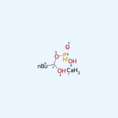 CCCCC(O)O[PH](=O)O.[CaH2]